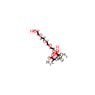 C=C(C)C(=O)O.C=C(C)C(=O)O.OCCOCCOCCOCCO